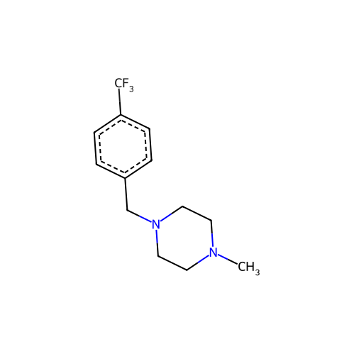 CN1CCN(Cc2ccc(C(F)(F)F)cc2)CC1